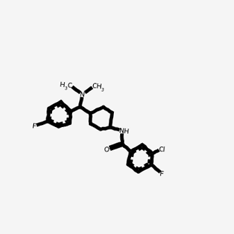 CN(C)C(c1ccc(F)cc1)C1CCC(NC(=O)c2ccc(F)c(Cl)c2)CC1